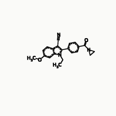 CCn1c(-c2ccc(C(=O)N3CC3)cc2)c(C#N)c2ccc(OC)cc21